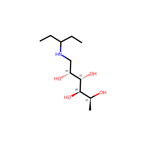 CCC(CC)NC[C@@H](O)[C@H](O)[C@H](O)[C@H](C)O